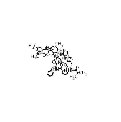 COC(=O)[C@H](CC(C)C)NC(=O)C[C@H](O)C(CC(C)C)NC(=O)[C@H](Cc1c[nH]cn1)NC(=O)[C@H](Cc1ccccc1)NC(=O)[C@@H]1CCCN1C(=O)[C@H](Cc1c[nH]cn1)NC(=O)C(C)C